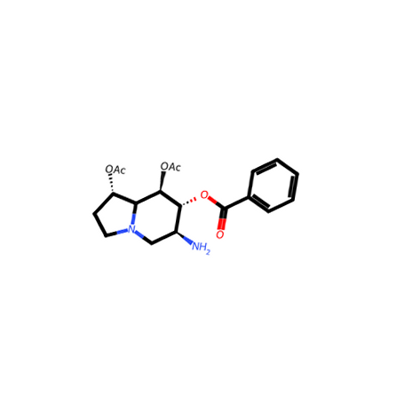 CC(=O)O[C@H]1CCN2C[C@H](N)[C@@H](OC(=O)c3ccccc3)[C@H](OC(C)=O)C12